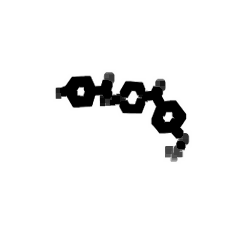 O=C(NN1CCN(C(=O)c2ccc(OC(F)(F)F)cc2)CC1)c1ccc(F)cc1